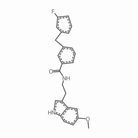 COc1ccc2[nH]cc(CCNC(=O)c3cccc(Cc4cccc(F)c4)c3)c2c1